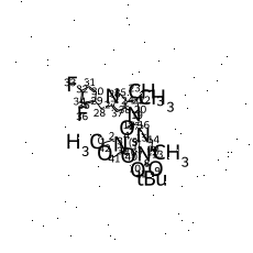 CC1CN(C[C@H]2CN(C(=O)OC(C)(C)C)[C@H](C)CN2CC(=O)N2CC(C)(C)c3cnc(Cc4ccc(F)cc4F)cc32)C(=O)CO1